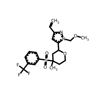 C=Cc1cc(C2CC(C)(S(=O)(=O)c3cccc(C(F)(F)F)c3)CCO2)n(COC)n1